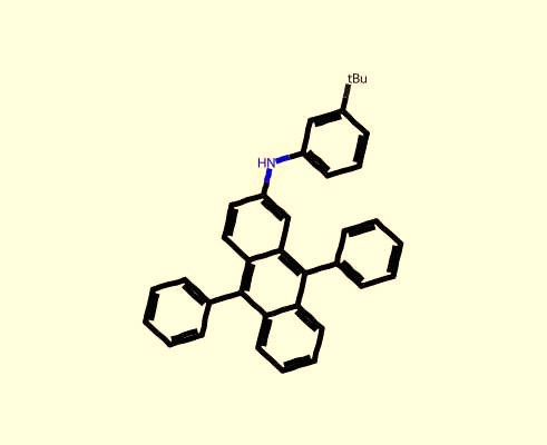 CC(C)(C)c1cccc(Nc2ccc3c(-c4ccccc4)c4ccccc4c(-c4ccccc4)c3c2)c1